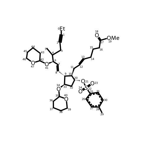 CCC#CCC(C)[C@@H](C=C[C@@H]1[C@@H](CC=CCCCC(=O)OC)[C@H](OS(=O)(=O)c2ccc(C)cc2)C[C@H]1OC1CCCCO1)OC1CCCCO1